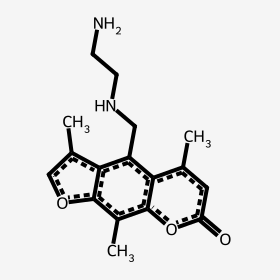 Cc1c2occ(C)c2c(CNCCN)c2c(C)cc(=O)oc12